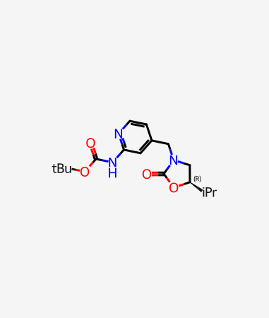 CC(C)[C@@H]1CN(Cc2ccnc(NC(=O)OC(C)(C)C)c2)C(=O)O1